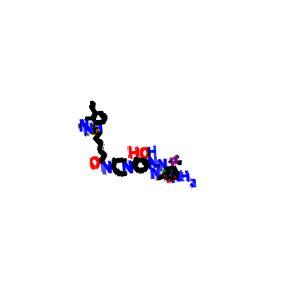 C=Cc1cccc(SCCCCCC(=O)N(C)C2CCN(c3ccc(NC(/N=C\C(Cl)=C\N)=N/c4ccccc4P(=C)(C)C)c(O)c3)CC2)c1CN(C)NC